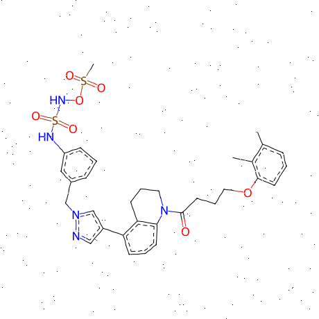 Cc1cccc(OCCCC(=O)N2CCCc3c(-c4cnn(Cc5cccc(NS(=O)(=O)NOS(C)(=O)=O)c5)c4)cccc32)c1C